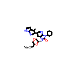 COCC1COC[C@H](Cn2c(=O)n(C3=CCCCC3)c3ncc(-c4cnc5[nH]ccc5c4C)cc32)O1